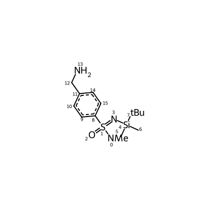 CNS(=O)(=N[Si](C)(C)C(C)(C)C)c1ccc(CN)cc1